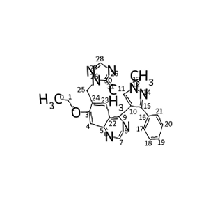 CCOc1cc2ncnc(-c3cn(C)nc3-c3ccccc3)c2cc1Cn1ncnc1C